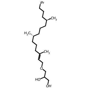 C/C(=C\COCC(O)CO)CCC[C@H](C)CCC[C@H](C)CCCC(C)C